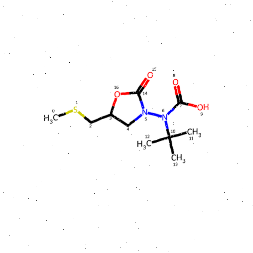 CSCC1CN(N(C(=O)O)C(C)(C)C)C(=O)O1